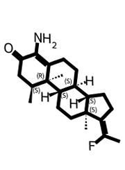 CC(F)=C1CC[C@H]2[C@@H]3CCC4=C(N)C(=O)C[C@H](C)[C@]4(C)[C@H]3CC[C@]12C